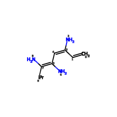 C=C/C(N)=C\C(N)=C(/N)C(C)C